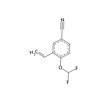 C=Cc1cc(C#N)ccc1OC(F)F